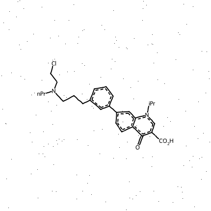 CCCN(CCCl)CCCc1cccc(-c2ccc3c(=O)c(C(=O)O)cn(C(C)C)c3c2)c1